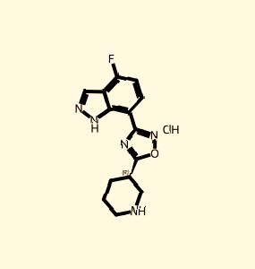 Cl.Fc1ccc(-c2noc([C@@H]3CCCNC3)n2)c2[nH]ncc12